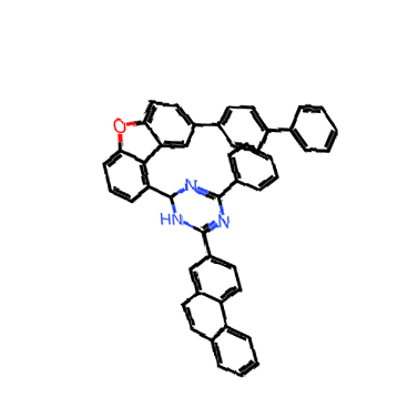 c1ccc(C2=NC(c3cccc4oc5ccc(-c6ccc(-c7ccccc7)cc6)cc5c34)NC(c3ccc4c(ccc5ccccc54)c3)=N2)cc1